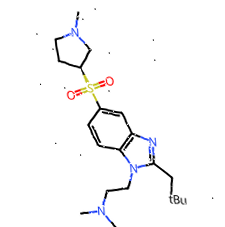 CN(C)CCn1c(CC(C)(C)C)nc2cc(S(=O)(=O)[C@H]3CCN(C)C3)ccc21